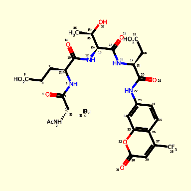 CC[C@H](C)[C@H](NC(C)=O)C(=O)N[C@@H](CCC(=O)O)C(=O)N[C@H](C(=O)N[C@@H](CC(=O)O)C(=O)Nc1ccc2c(C(F)(F)F)cc(=O)oc2c1)[C@@H](C)O